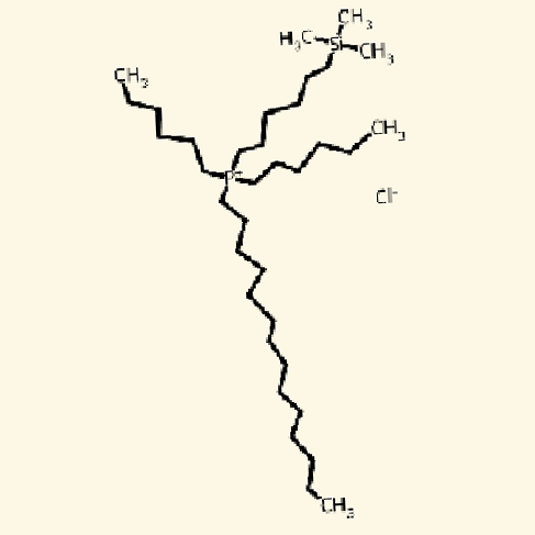 CCCCCCCCCCCCCC[P+](CCCCCC)(CCCCCC)CCCCCC[Si](C)(C)C.[Cl-]